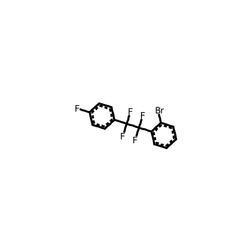 Fc1ccc(C(F)(F)C(F)(F)c2ccccc2Br)cc1